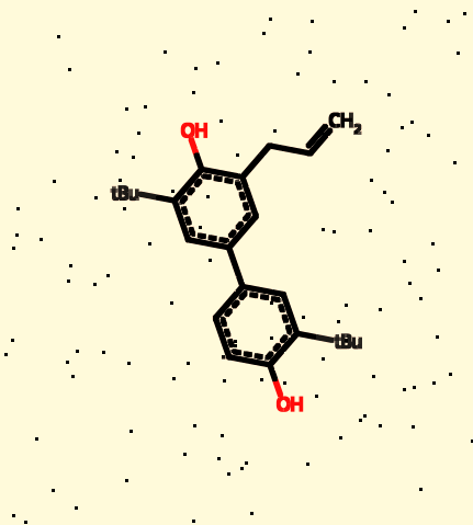 C=CCc1cc(-c2c[c]c(O)c(C(C)(C)C)c2)cc(C(C)(C)C)c1O